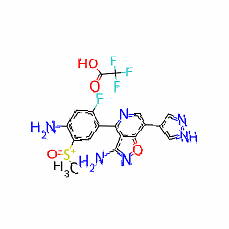 C[S+]([O-])c1cc(-c2ncc(-c3cn[nH]c3)c3onc(N)c23)c(F)cc1N.O=C(O)C(F)(F)F